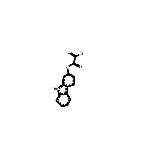 O=C(O)C(=O)Oc1ccc2c(c1)[nH]c1ccccc12